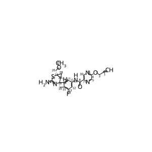 C#CCOc1cnc(C(=O)Nc2cc(F)c3c(c2)[C@@]2(C3)N=C(N)S[C@@]3(COC)C[C@H]32)cn1